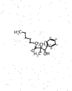 CCCCCOC(=O)C(C)(C)C(O)c1ccccc1